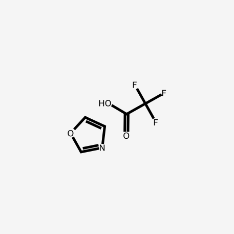 O=C(O)C(F)(F)F.c1cocn1